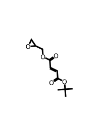 CC(C)(C)OC(=O)C=CC(=O)OCC1CO1